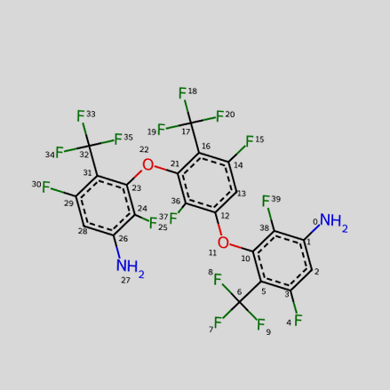 Nc1cc(F)c(C(F)(F)F)c(Oc2cc(F)c(C(F)(F)F)c(Oc3c(F)c(N)cc(F)c3C(F)(F)F)c2F)c1F